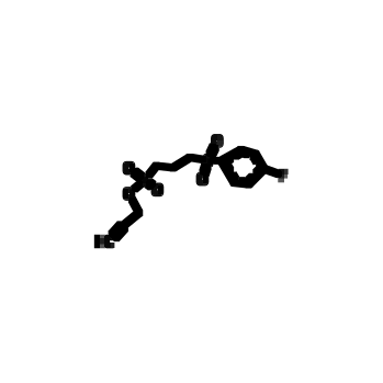 C#CCOS(=O)(=O)CCCS(=O)(=O)c1ccc(F)cc1